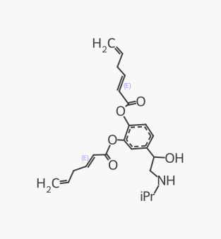 C=CC/C=C/C(=O)Oc1ccc(C(O)CNC(C)C)cc1OC(=O)/C=C/CC=C